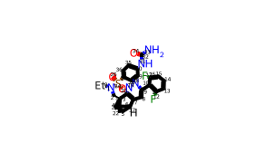 CCN(C[C@@]12CC[C@@H](c3cc(-c4c(F)cccc4F)nnc31)C2(C)C)S(=O)(=O)c1ccc(NC(N)=O)cc1